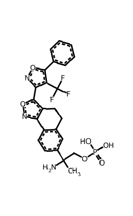 CC(N)(COP(=O)(O)O)c1ccc2c(c1)CCc1c-2noc1-c1noc(-c2ccccc2)c1C(F)(F)F